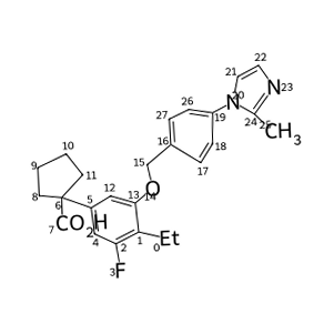 CCc1c(F)cc(C2(C(=O)O)CCCC2)cc1OCc1ccc(-n2ccnc2C)cc1